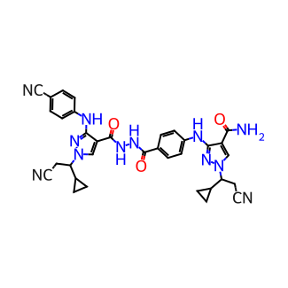 N#CCC(C1CC1)n1cc(C(N)=O)c(Nc2ccc(C(=O)NNC(=O)c3cn(C(CC#N)C4CC4)nc3Nc3ccc(C#N)cc3)cc2)n1